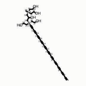 C#CC#CC#CC#CC#CC#CC#CC#CC#CC#CC#C[N+](CCO)(CCO)CC(O)C[N+](C)(CCO)CCO